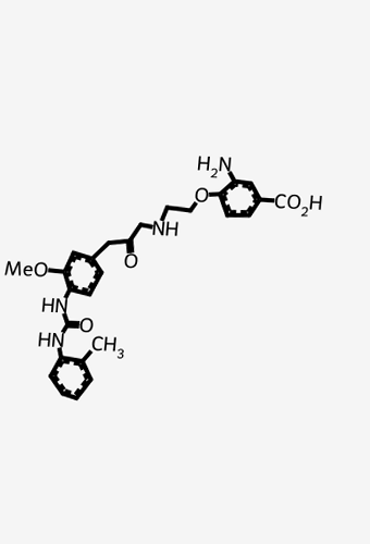 COc1cc(CC(=O)CNCCOc2ccc(C(=O)O)cc2N)ccc1NC(=O)Nc1ccccc1C